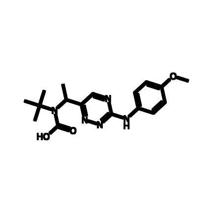 COc1ccc(Nc2ncc(C(C)N(C(=O)O)C(C)(C)C)nn2)cc1